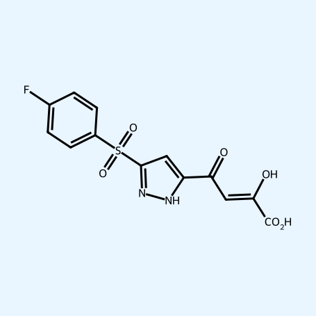 O=C(O)C(O)=CC(=O)c1cc(S(=O)(=O)c2ccc(F)cc2)n[nH]1